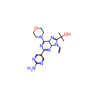 C=CN1C(C(C)(C)O)=NC2C(N3CCOCC3)=NC(c3cnc(N)nc3)=NC21